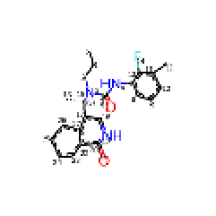 CCCN(C(=O)Nc1cccc(C)c1F)[C@@H](C)c1c[nH]c(=O)c2ccccc12